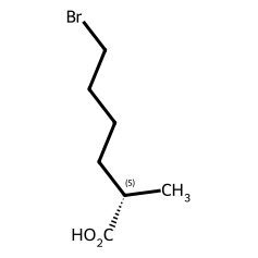 C[C@@H](CCCCBr)C(=O)O